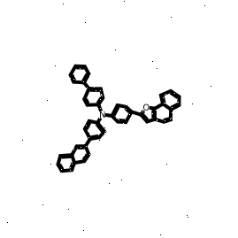 c1ccc(-c2ccc(N(c3ccc(-c4ccc5ccccc5c4)cc3)c3ccc(-c4cc5ccc6ccccc6c5o4)cc3)cc2)cc1